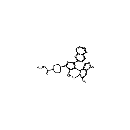 C=CC(=O)N1CCC(n2nc(-c3ccc4nnccc4c3)c(-c3c(Cl)c(C)cc4[nH]ncc34)c2C)CC1